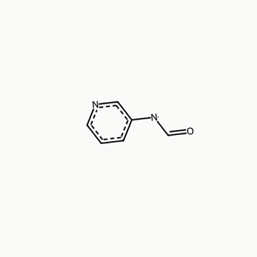 O=C[N]c1cccnc1